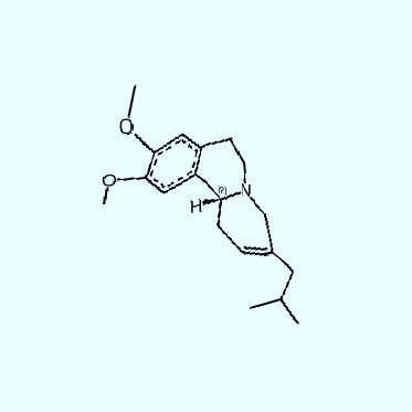 COc1cc2c(cc1OC)[C@H]1CC=C(CC(C)C)CN1CC2